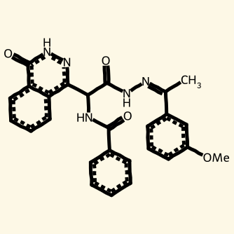 COc1cccc(C(C)=NNC(=O)C(NC(=O)c2ccccc2)c2n[nH]c(=O)c3ccccc23)c1